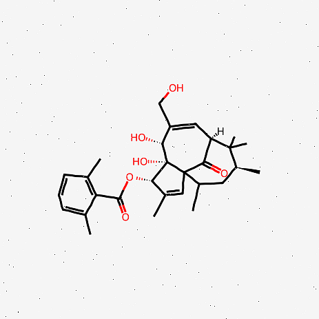 CC1=CC23C(=O)[C@@H](C=C(CO)[C@@H](O)[C@]2(O)[C@H]1OC(=O)c1c(C)cccc1C)C(C)(C)[C@@H](C)CC3C